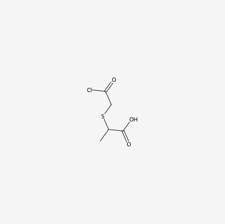 CC(SCC(=O)Cl)C(=O)O